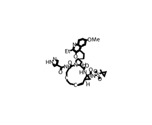 CCc1nc2ccc(OC)cc2c2c1O[C@]1(CC2)C[C@H]2C(=O)N[C@]3(C(=O)NS(=O)(=O)C4(C)CC4)C[C@H]3C=CCCCCC[C@H](NC(=O)c3cn[nH]c3)C(=O)N2C1